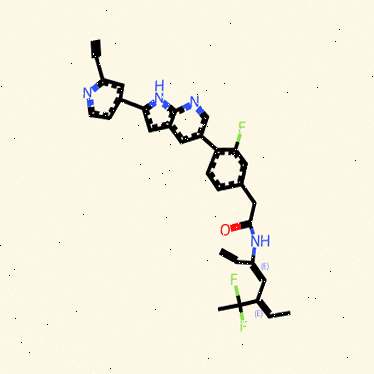 C#Cc1cc(-c2cc3cc(-c4ccc(CC(=O)N/C(C=C)=C/C(=C\C)C(C)(F)F)cc4F)cnc3[nH]2)ccn1